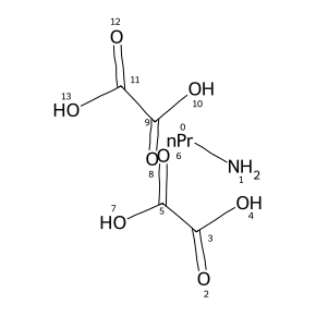 CCCN.O=C(O)C(=O)O.O=C(O)C(=O)O